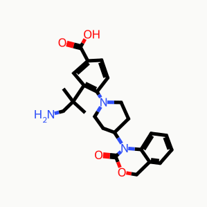 CC(C)(CN)c1cc(C(=O)O)ccc1N1CCC(N2C(=O)OCc3ccccc32)CC1